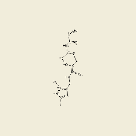 Cc1cc(CNC(=O)[C@@H]2CC[C@@H](NC(=O)OC(C)(C)C)CO2)n(C)n1